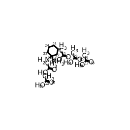 CC(=O)O.CC(=O)O.CC(=O)O.CC(=O)O.CC(=O)O.NC1(N)CCCCC1